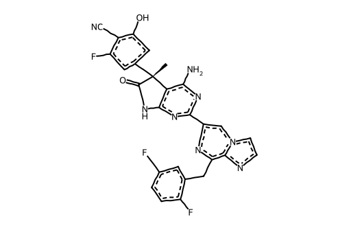 C[C@]1(c2cc(O)c(C#N)c(F)c2)C(=O)Nc2nc(-c3cn4ccnc4c(Cc4cc(F)ccc4F)n3)nc(N)c21